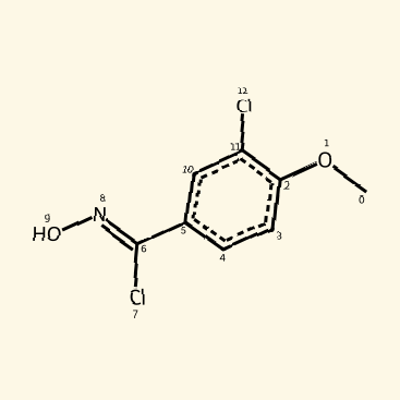 COc1ccc(C(Cl)=NO)cc1Cl